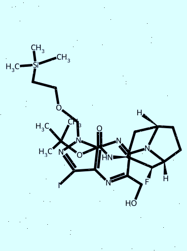 CC(C)(C)OC(=O)N[C@H]1C[C@@H]2CC[C@H]([C@H]1F)N2c1nc2c(nc1CO)c(I)nn2COCC[Si](C)(C)C